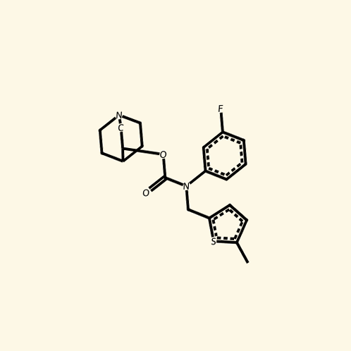 Cc1ccc(CN(C(=O)OC2CN3CCC2CC3)c2cccc(F)c2)s1